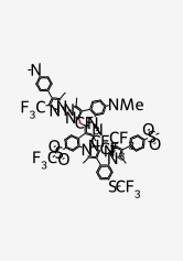 CNc1ccc(-c2c(C(F)(F)F)nn(-n3nc(C(F)(F)F)c(-c4ccc(N(C)C)cc4)c3C)c2C)c(-n2nc(C(F)(F)F)c(-c3ccc(S(=O)(=O)C(F)(F)F)cc3-n3nc(C(F)(F)F)c(-c4ccc(SC(F)(F)F)cc4-n4nc(C(F)(F)F)c(-c5ccc(S(C)(=O)=O)cc5)c4C)c3C)c2C)c1